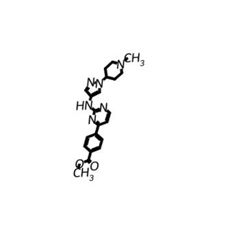 COC(=O)c1ccc(-c2ccnc(Nc3cnn(C4CCN(C)CC4)c3)n2)cc1